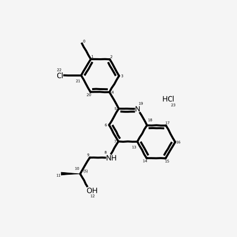 Cc1ccc(-c2cc(NC[C@H](C)O)c3ccccc3n2)cc1Cl.Cl